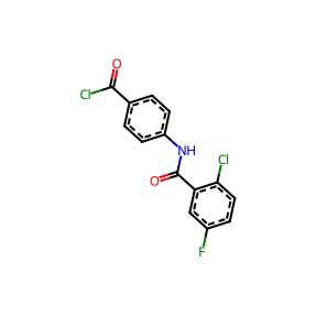 O=C(Cl)c1ccc(NC(=O)c2cc(F)ccc2Cl)cc1